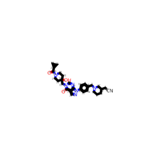 N#CCC1CCCN(Cc2ccc(-n3ncc4c(=O)n(CC5(O)CCN(C(=O)C6CC6)CC5)cnc43)cc2)C1